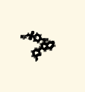 CCS(=O)(=O)N1CCC(Nc2cc(-c3cccc(F)n3)cc3ccncc23)CC1